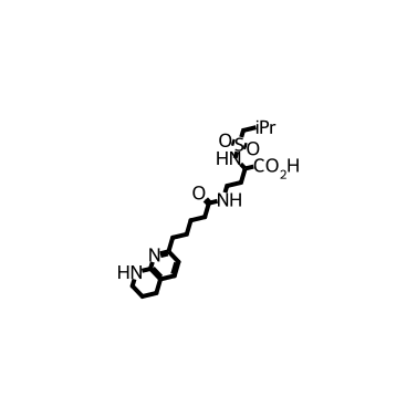 CC(C)CS(=O)(=O)NC(CCNC(=O)CCCCc1ccc2c(n1)NCCC2)C(=O)O